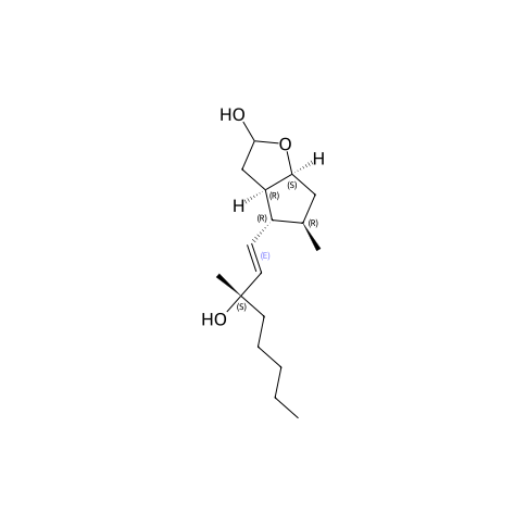 CCCCC[C@](C)(O)/C=C/[C@@H]1[C@H]2CC(O)O[C@H]2C[C@H]1C